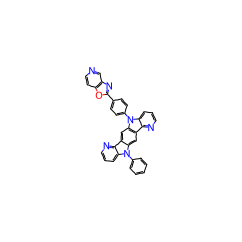 c1ccc(-n2c3cc4c5ncccc5n(-c5ccc(-c6nc7cnccc7o6)cc5)c4cc3c3ncccc32)cc1